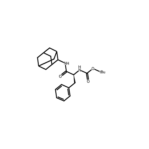 CC(C)(C)OC(=O)N[C@@H](Cc1ccccc1)C(=O)NC1C2CC3CC(C2)CC1C3